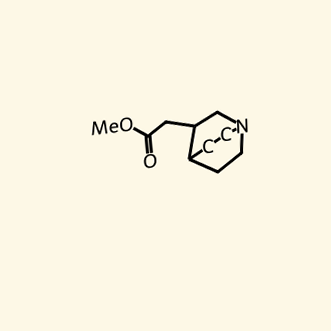 COC(=O)CC1CN2CCC1CC2